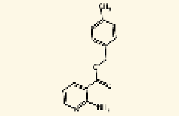 Cc1ccc(COC(=O)c2cccnc2N)cc1